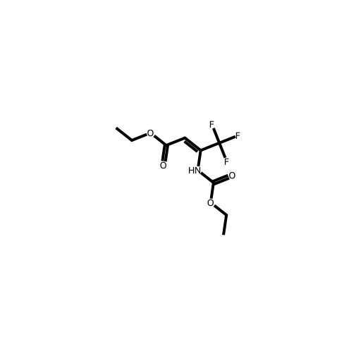 CCOC(=O)/C=C(\NC(=O)OCC)C(F)(F)F